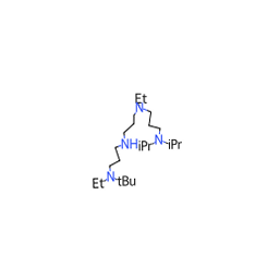 CCN(CCCNCCCN(CC)C(C)(C)C)CCCN(C(C)C)C(C)C